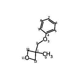 CC1(COc2ccccc2)COC1